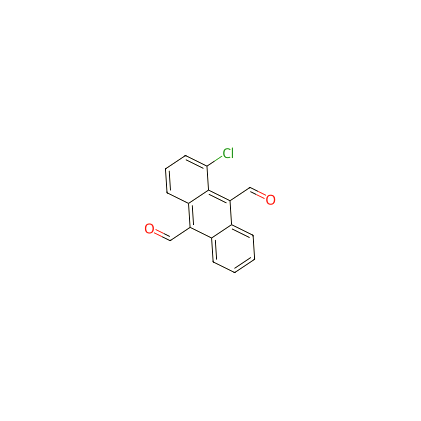 O=Cc1c2ccccc2c(C=O)c2c(Cl)cccc12